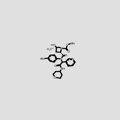 CC(C)(C)OC(=O)N1C[C@](C)(O)C[C@@H]1C(=O)N(c1ccc(C(C)(C)C)cc1)C(C(=O)NC1CCOCC1)c1cccnc1